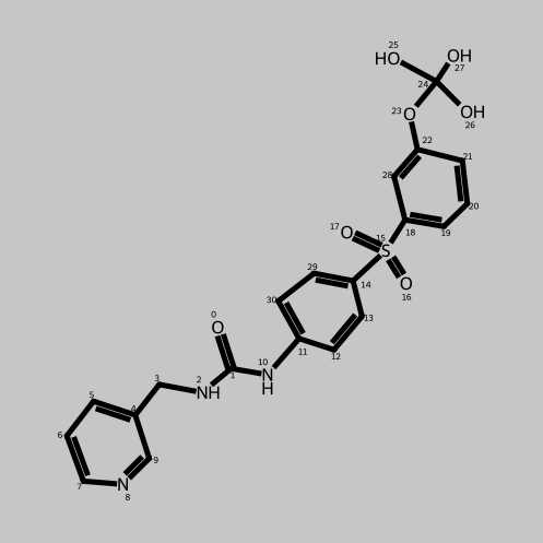 O=C(NCc1cccnc1)Nc1ccc(S(=O)(=O)c2cccc(OC(O)(O)O)c2)cc1